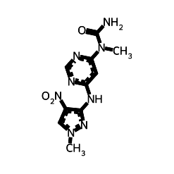 CN(C(N)=O)c1cc(Nc2nn(C)cc2[N+](=O)[O-])ncn1